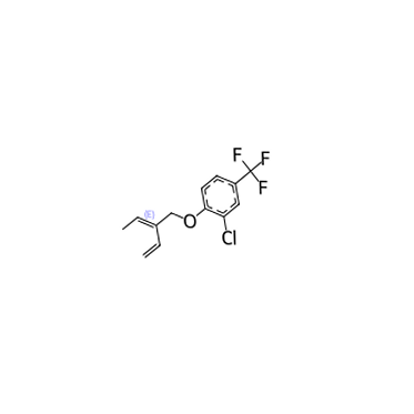 C=C/C(=C\C)COc1ccc(C(F)(F)F)cc1Cl